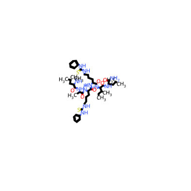 CCC(C)C(NC(=O)C(CCCCNC(=S)Nc1ccccc1)NC(=O)C(CCCCNC(=S)Nc1ccccc1)NC(=O)C(C)NC(=O)C(CC(C)C)NC)C(=O)NC(CC(C)C)C(N)=O